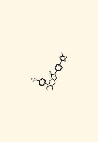 Cc1nc(-c2ccc(N3CC(CN(C)S(=O)(=O)c4ccc(C(F)(F)F)cc4)OC3=O)cc2)no1